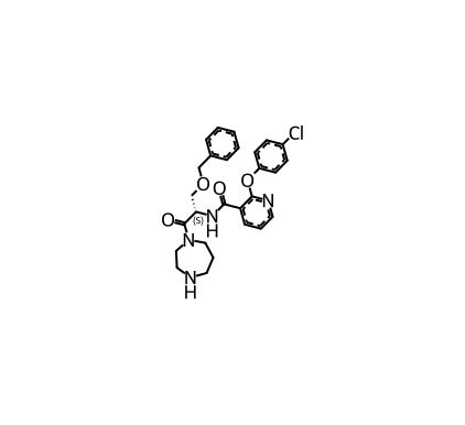 O=C(N[C@@H](COCc1ccccc1)C(=O)N1CCCNCC1)c1cccnc1Oc1ccc(Cl)cc1